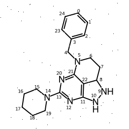 c1ccc(CN2CCC3NNc4nc(N5CCCCC5)nc2c43)cc1